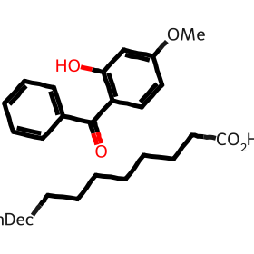 CCCCCCCCCCCCCCCCCC(=O)O.COc1ccc(C(=O)c2ccccc2)c(O)c1